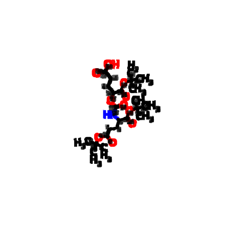 CC(C)(C)OC(=O)CCC(NC(=O)OC(CCC(=O)O)C(=O)OC(C)(C)C)C(=O)OC(C)(C)C